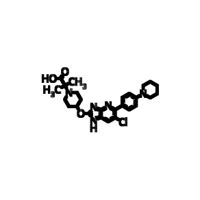 CC(C)(C(=O)O)N1CCC(Oc2nc3nc(-c4ccc(N5CCCCC5)cc4)c(Cl)cc3[nH]2)CC1